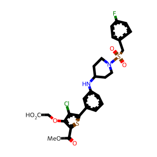 COC(=O)c1sc(-c2cccc(NC3CCN(S(=O)(=O)Cc4ccc(F)cc4)CC3)c2)c(Cl)c1OCC(=O)O